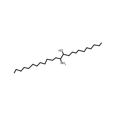 CCCCCCCCCCCCC(N)C(O)CCCCCCCCCC